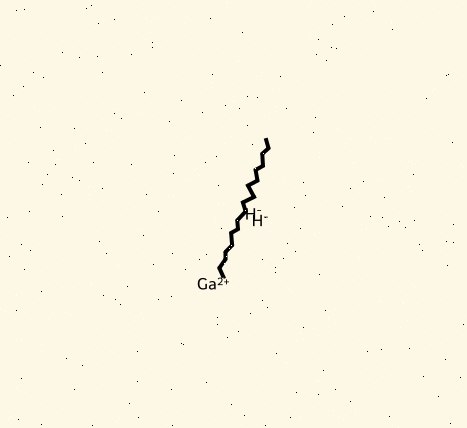 CCCCCCCCCCCCCCCCC[CH2][Ga+2].[H-].[H-]